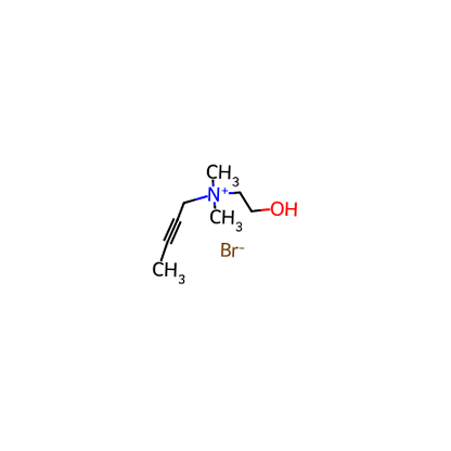 CC#CC[N+](C)(C)CCO.[Br-]